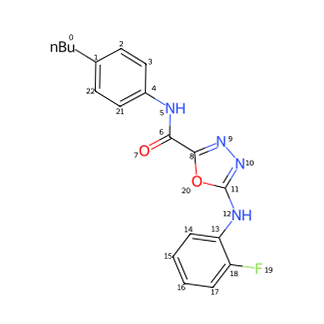 CCCCc1ccc(NC(=O)c2nnc(Nc3ccccc3F)o2)cc1